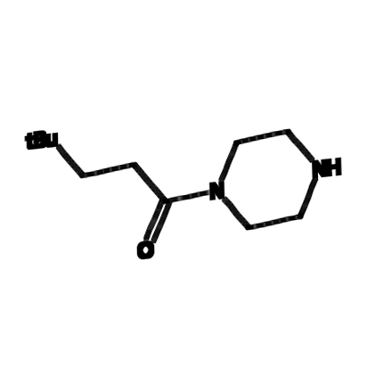 CC(C)(C)CCC(=O)N1CCNCC1